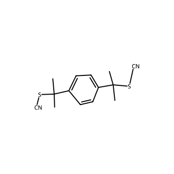 CC(C)(SC#N)c1ccc(C(C)(C)SC#N)cc1